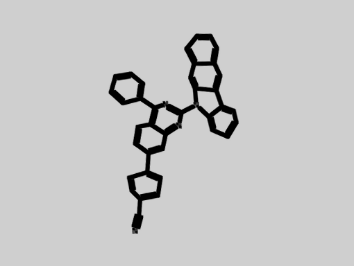 N#Cc1ccc(-c2ccc3c(-c4ccccc4)nc(-n4c5ccccc5c5cc6ccccc6cc54)nc3c2)cc1